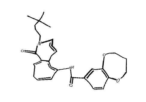 CC(C)(C)Cn1ccc2c(NC(=O)c3ccc4c(c3)OCCCO4)cccc2c1=O